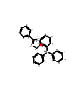 c1ccc(C2=N[C@@H](c3ccccc3P(c3ccccc3)c3ccccc3)CO2)cc1